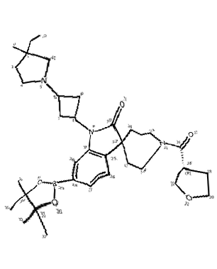 CC1(C)CCN(C2CC(N3C(=O)C4(CCN(C(=O)[C@@H]5CCOC5)CC4)c4ccc(B5OC(C)(C)C(C)(C)O5)cc43)C2)C1